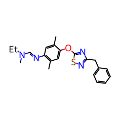 CCN(C)C=Nc1cc(C)c(Oc2nc(Cc3ccccc3)ns2)cc1C